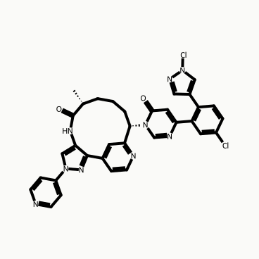 C[C@@H]1CCC[C@H](n2cnc(-c3cc(Cl)ccc3-c3cnn(Cl)c3)cc2=O)c2cc(ccn2)-c2nn(-c3ccncc3)cc2NC1=O